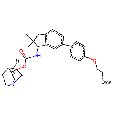 COCCOc1ccc(-c2ccc3c(c2)C(NC(=O)O[C@H]2CN4CCC2CC4)C(C)(C)C3)cc1